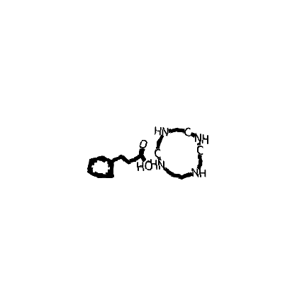 C1CNCCNCCNCCN1.O=C(O)CCc1ccccc1